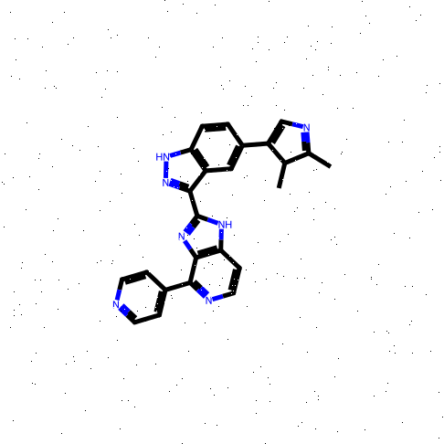 CC1=NC=C(c2ccc3[nH]nc(-c4nc5c(-c6ccncc6)nccc5[nH]4)c3c2)C1C